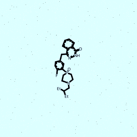 CCC(CC)CN1CCP(=O)(c2cc(Cc3n[nH]c(=O)c4ccccc34)ccc2F)CC1